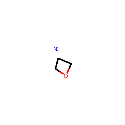 C1COC1.[N]